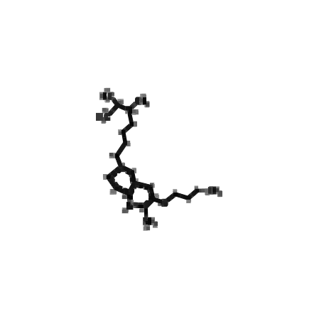 CCCCOc1cc2cc(CCCCN(C)C(C)C)ccc2nc1N